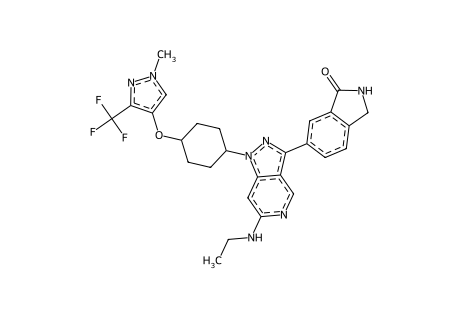 CCNc1cc2c(cn1)c(-c1ccc3c(c1)C(=O)NC3)nn2C1CCC(Oc2cn(C)nc2C(F)(F)F)CC1